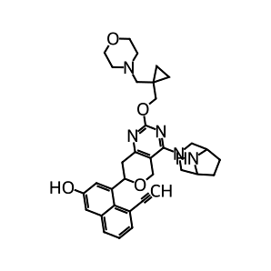 C#Cc1cccc2cc(O)cc(C3Cc4nc(OCC5(CN6CCOCC6)CC5)nc(N5CC6CCC(C5)N6)c4CO3)c12